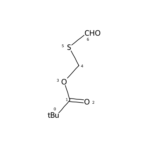 CC(C)(C)C(=O)OCSC=O